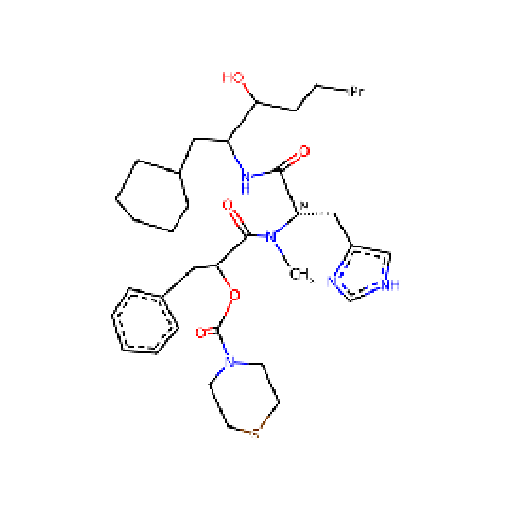 CC(C)CCC(O)C(CC1CCCCC1)NC(=O)[C@H](Cc1c[nH]cn1)N(C)C(=O)C(Cc1ccccc1)OC(=O)N1CCSCC1